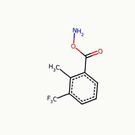 Cc1c(C(=O)ON)cccc1C(F)(F)F